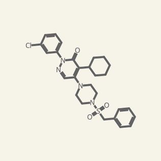 O=c1c(C2CCCCC2)c(N2CCN(S(=O)(=O)Cc3ccccc3)CC2)cnn1-c1cccc(Cl)c1